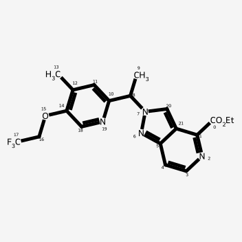 CCOC(=O)c1nccc2nn(C(C)c3cc(C)c(OCC(F)(F)F)cn3)cc12